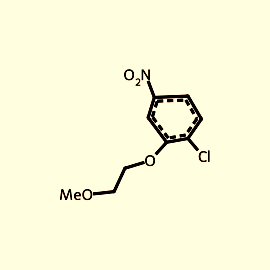 COCCOc1cc([N+](=O)[O-])ccc1Cl